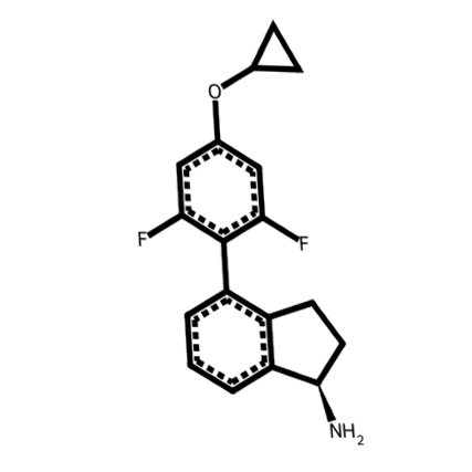 N[C@@H]1CCc2c(-c3c(F)cc(OC4CC4)cc3F)cccc21